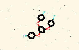 Fc1ccc(Oc2cc(Oc3ccc(F)cc3)cc(Oc3ccc(F)cc3)c2)cc1